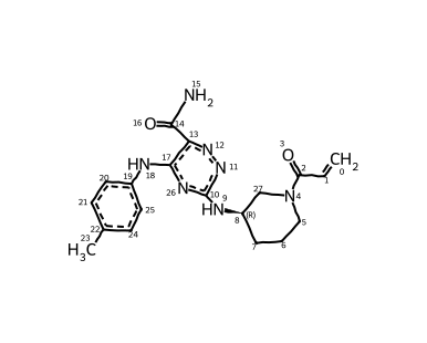 C=CC(=O)N1CCC[C@@H](Nc2nnc(C(N)=O)c(Nc3ccc(C)cc3)n2)C1